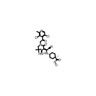 Cc1ncc(Cl)c(C(=O)CN(CC(C)(C)C)C(=O)/C(C=N)=C(\C#N)N[C@H]2CC[C@](C)(C(=O)N=O)CC2)c1Cl